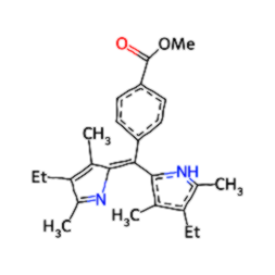 CCC1=C(C)/C(=C(\c2ccc(C(=O)OC)cc2)c2[nH]c(C)c(CC)c2C)N=C1C